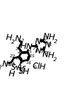 Cl.NCCc1c(Nc2nc(N)nc(N)n2)ccc([As](S)S)c1CCN